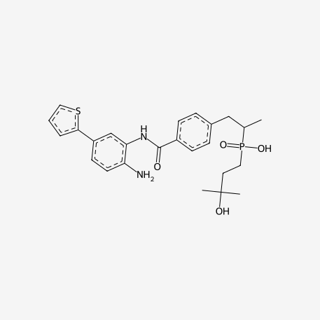 CC(Cc1ccc(C(=O)Nc2cc(-c3cccs3)ccc2N)cc1)P(=O)(O)CCC(C)(C)O